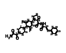 NC(=O)C(=O)N1CCN(c2c(F)cc(N3CCOC3C(=O)NC(=O)C=Cc3ccccc3)cc2F)CC1